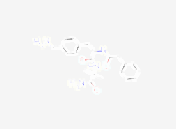 CC(C)(NC(=O)/C(Cc1ccc(CN)cc1)=N\C(=O)Cc1ccccc1)C(N)=O